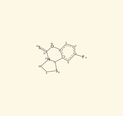 Fc1ccc2c(c1)C1SCCN1C(=S)O2